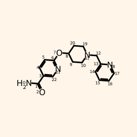 NC(=O)c1ccc(OC2CCN(Cc3ccccn3)CC2)nc1